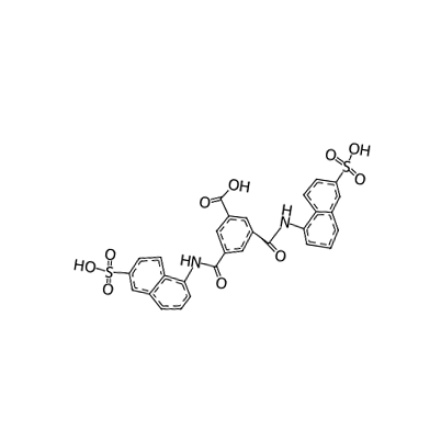 O=C(O)c1cc(C(=O)Nc2cccc3cc(S(=O)(=O)O)ccc23)cc(C(=O)Nc2cccc3cc(S(=O)(=O)O)ccc23)c1